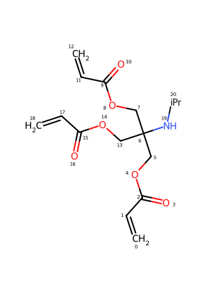 C=CC(=O)OCC(COC(=O)C=C)(COC(=O)C=C)NC(C)C